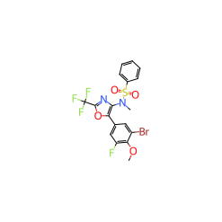 COc1c(F)cc(-c2oc(C(F)(F)F)nc2N(C)S(=O)(=O)c2ccccc2)cc1Br